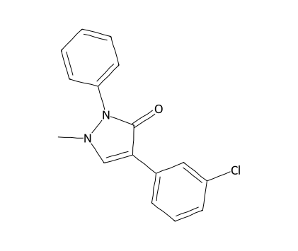 Cn1cc(-c2cccc(Cl)c2)c(=O)n1-c1ccccc1